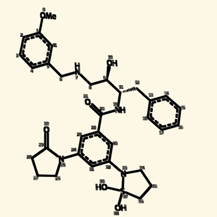 COc1cccc(CNC[C@@H](O)[C@H](Cc2ccccc2)NC(=O)c2cc(N3CCCC3=O)cc(N3CCCS3(O)O)c2)c1